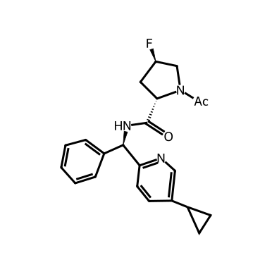 CC(=O)N1C[C@H](F)C[C@H]1C(=O)N[C@H](c1ccccc1)c1ccc(C2CC2)cn1